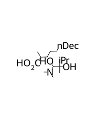 CC(C)C(C)(O)C(O)N(C)C.CCCCCCCCCCCCCC(C)C(=O)O